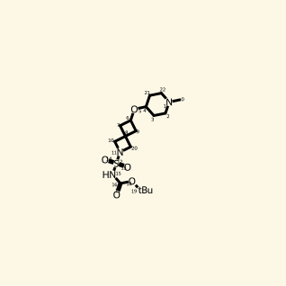 CN1CCC(OC2CC3(C2)CN(S(=O)(=O)NC(=O)OC(C)(C)C)C3)CC1